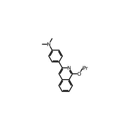 CC(C)Oc1nc(-c2ccc(N(C)C)cc2)cc2ccccc12